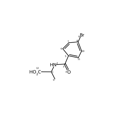 CC(NC(=O)c1ccc(Br)cc1)C(=O)O